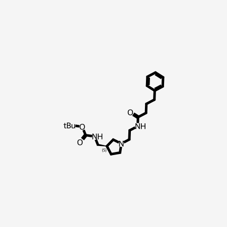 CC(C)(C)OC(=O)NC[C@@H]1CCN(CCNC(=O)CCCc2ccccc2)C1